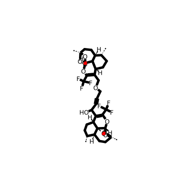 C[C@@H]1CC[C@H]2C(COCC#CC(O)C3=C(C(F)(F)F)O[C@@H]4O[C@]5(C)CC[C@H]6[C@H](C)CC[C@@H]3[C@@]46OO5)=C(C(F)(F)F)O[C@@H]3O[C@]4(C)CC[C@@H]1[C@]32OO4